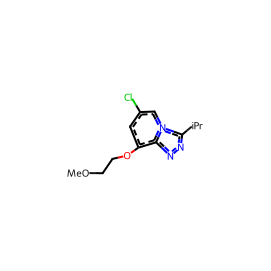 COCCOc1cc(Cl)cn2c(C(C)C)nnc12